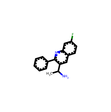 CC(N)c1cc2ccc(F)cc2nc1-c1ccccc1